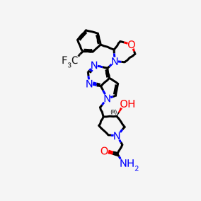 NC(=O)CN1CCC(Cn2ccc3c(N4CCOCC4c4cccc(C(F)(F)F)c4)ncnc32)[C@@H](O)C1